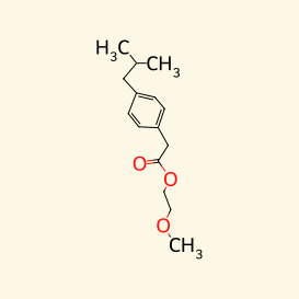 COCCOC(=O)Cc1ccc(CC(C)C)cc1